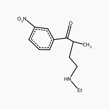 CCNCCC(C)C(=O)c1cccc([N+](=O)[O-])c1